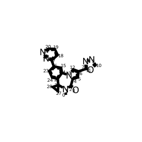 CN1C(=O)c2cc(-c3nnco3)cn2-c2cc(-c3cccnn3)ccc2C12CC2